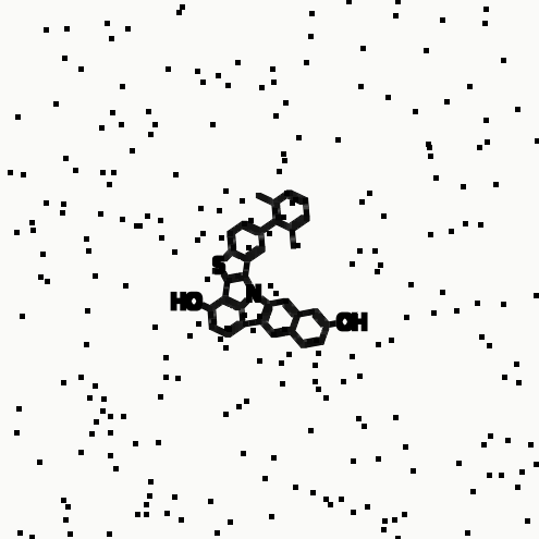 Cc1cccc(C)c1-c1ccc2sc3c4c(O)ccc5c6cc7ccc(O)cc7cc6n(c3c2c1)c54